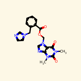 Cn1c(=O)c2c(ncn2COC(=O)c2ccccc2Cn2ccnc2)n(C)c1=O